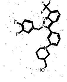 OCC1CCCN(c2cccc(-c3c4cccc(C(F)(F)F)c4nn3Cc3ccc(F)c(F)c3)c2)C1